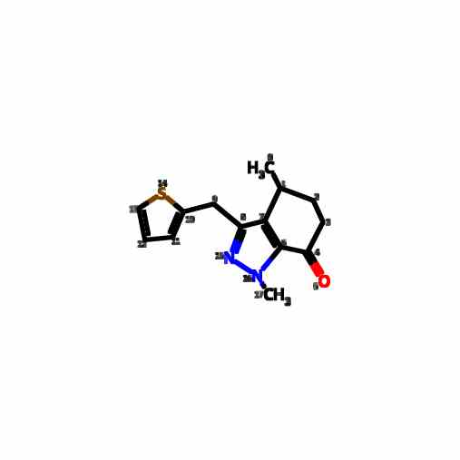 CC1CCC(=O)c2c1c(Cc1cccs1)nn2C